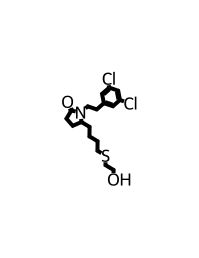 O=C1CCC(CCCCSCCO)N1CCc1cc(Cl)cc(Cl)c1